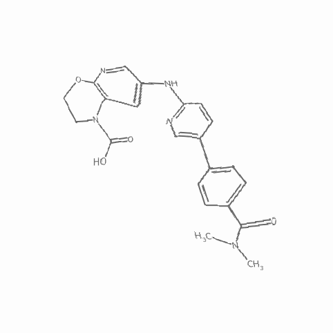 CN(C)C(=O)c1ccc(-c2ccc(Nc3cnc4c(c3)N(C(=O)O)CCO4)nc2)cc1